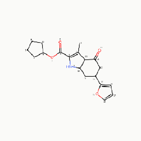 CC1=C(C(=O)OC2CCCC2)NC2CC(c3ccco3)CC(=O)C12